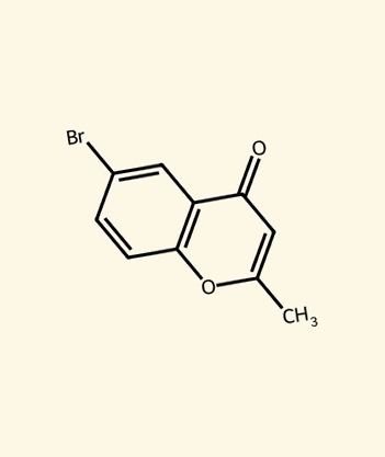 Cc1cc(=O)c2cc(Br)ccc2o1